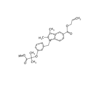 C=CCOC(=O)c1ccc2c(c1)c(C)c(C)n2Cc1cccc(OC(C)(C)C(=O)OC)c1